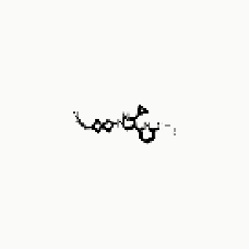 Cc1cccc(-c2cn(C3CC4(CC(CC#N)C4)C3)nc2C2CC2)n1